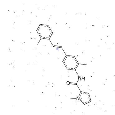 Cc1ccccc1/C=C/c1ccc(NC(=O)c2cccn2C)c(C)c1